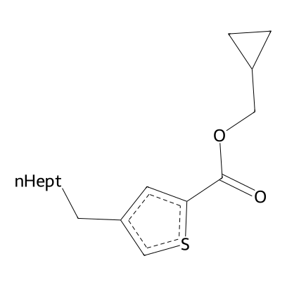 CCCCCCCCc1csc(C(=O)OCC2CC2)c1